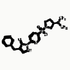 CN(C)[C@@H]1CCN(S(=O)(=O)c2ccc(-n3[nH]cc(Cc4ccccc4)c3=O)nc2)C1